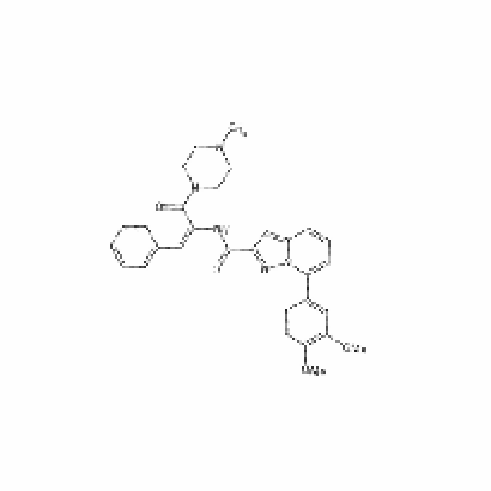 COc1ccc(-c2cccc3cc(C(=O)NC(=Cc4ccccc4)C(=O)N4CCN(C)CC4)nn23)cc1OC